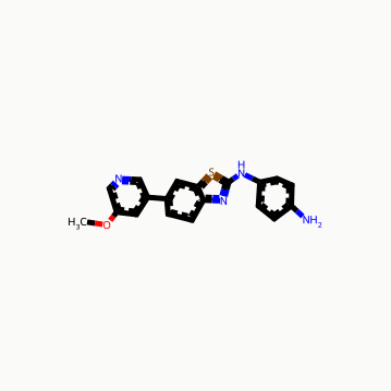 COc1cncc(-c2ccc3nc(Nc4ccc(N)cc4)sc3c2)c1